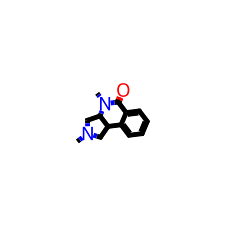 CN1CC2c3ccccc3C(=O)N(C)C2C1